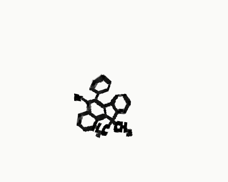 CC1(C)c2ccccc2-c2c(-c3ccccc3)c(Br)c3ccccc3c21